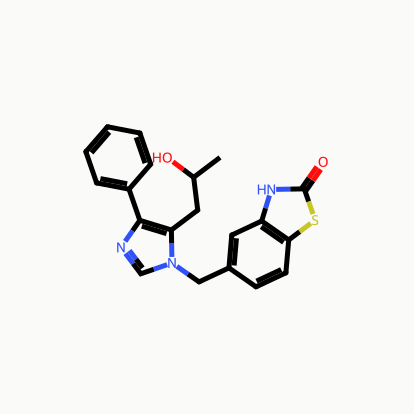 CC(O)Cc1c(-c2ccccc2)ncn1Cc1ccc2sc(=O)[nH]c2c1